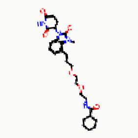 Cn1c(=O)n(C2CCC(=O)NC2=O)c2cccc(CCCOCCOCCNC(=O)C3CCCCC3)c21